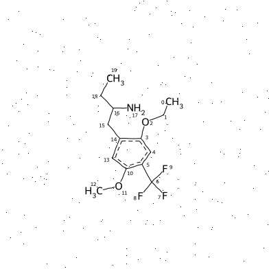 CCOc1cc(C(F)(F)F)c(OC)cc1CC(N)CC